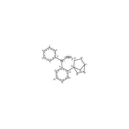 NN(c1ccccc1)c1ccccc1C12CCC(CC1)C2